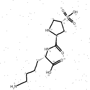 NCCCC[C@H](NC(=O)[C@@H]1C[C@@H](S(=O)(=O)O)CN1)C(=O)O